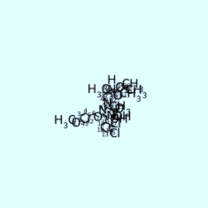 COc1ccc(COC2=C(c3cccc(Cl)c3Cl)N(O)C(C)(C(=O)O)C(N3CCC(C)(NC(=O)OC(C)(C)C)CC3)=N2)cc1